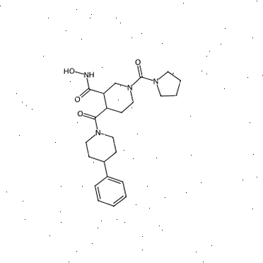 O=C(NO)C1CN(C(=O)N2CCCC2)CCC1C(=O)N1CCC(c2ccccc2)CC1